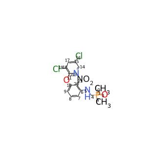 CP(C)(=O)CNc1cccc(Oc2ncc(Cl)cc2Cl)c1[N+](=O)[O-]